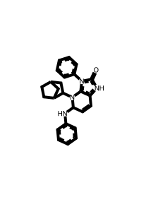 O=c1[nH]c2c(n1-c1ccccc1)N(C1CC3CCC1C3)C(Nc1ccccc1)C=C2